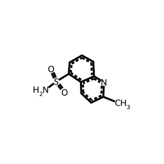 Cc1ccc2c(S(N)(=O)=O)cccc2n1